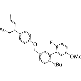 C/C=C/[C@H](CC(C)=O)c1ccc(OCc2ccc(C(C)(C)C)c(-c3cc(OC)ccc3F)c2)cc1